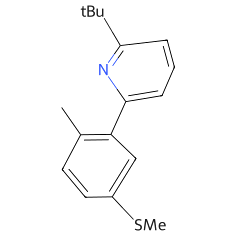 CSc1ccc(C)c(-c2cccc(C(C)(C)C)n2)c1